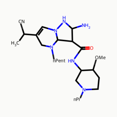 CCCCCN1CC(C(C)C#N)=CN2NC(N)C(C(=O)NC3CN(CCC)CCC3OC)C12